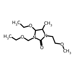 CCOCN1C(=O)N(CCOC)C(C)C1OCC